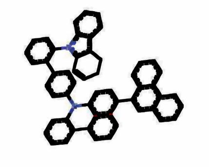 C1=Cc2c(c3ccccc3n2-c2ccccc2-c2ccc(N(c3ccc(-c4cc5ccccc5c5ccccc45)cc3)c3ccccc3-c3ccccc3)cc2)CC1